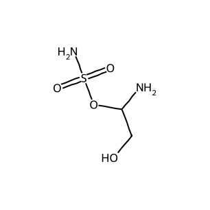 NC(CO)OS(N)(=O)=O